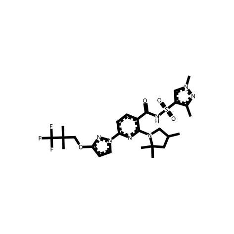 Cc1nn(C)cc1S(=O)(=O)NC(=O)c1ccc(-n2ccc(OCC(C)(C)C(F)(F)F)n2)nc1N1CC(C)CC1(C)C